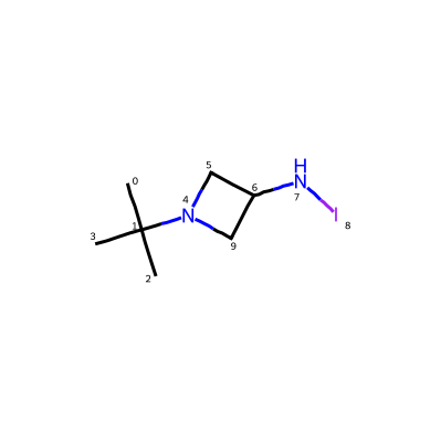 CC(C)(C)N1CC(NI)C1